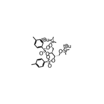 Cc1ccc(S(=O)(=O)O[C@@H](CO[Si](C)(C)C(C)(C)C)[C@H](CO[Si](C)(C)C(C)(C)C)OS(=O)(=O)c2ccc(C)cc2)cc1